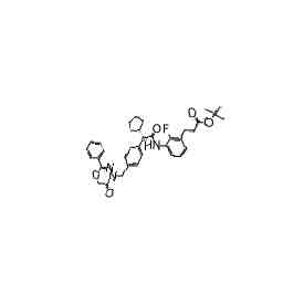 CC(C)(C)OC(=O)CCc1cccc(NC(=O)[C@H](c2ccc(CN3N=C(c4ccccc4)OCC3=O)cc2)C2CCCC2)c1F